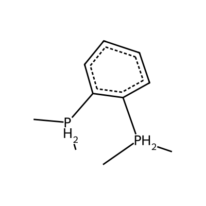 C[PH2](C)c1ccccc1[PH2](C)C